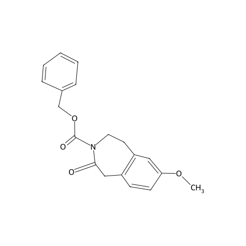 COc1ccc2c(c1)CCN(C(=O)OCc1ccccc1)C(=O)C2